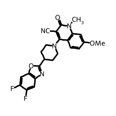 COc1ccc2c(N3CCC(c4nc5cc(F)c(F)cc5o4)CC3)c(C#N)c(=O)n(C)c2c1